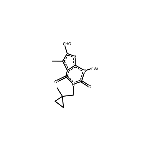 CCCCn1c(=O)n(CC2(C)CC2)c(=O)c2c(C)c(C=O)sc21